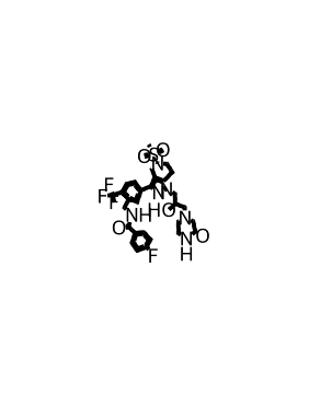 CS(=O)(=O)N1CCc2c(c(-c3ccc(C(F)(F)F)c(CNC(=O)c4ccc(F)cc4)c3)nn2CC(O)CN2CCNC(=O)C2)C1